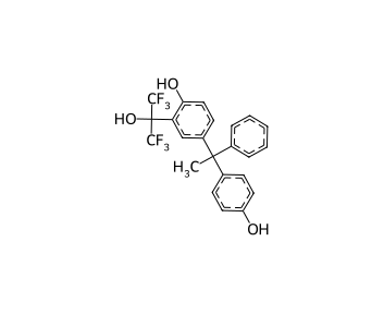 CC(c1ccccc1)(c1ccc(O)cc1)c1ccc(O)c(C(O)(C(F)(F)F)C(F)(F)F)c1